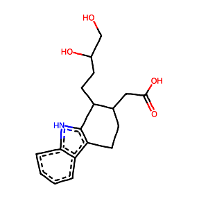 O=C(O)CC1CCc2c([nH]c3ccccc23)C1CCC(O)CO